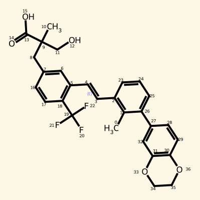 Cc1c(/C=C/c2cc(CC(C)(CO)C(=O)O)ccc2C(F)(F)F)cccc1-c1ccc2c(c1)OCCO2